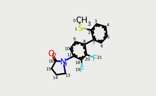 CSc1ccccc1-c1ccc(N2CCCC2=O)c(F)c1F